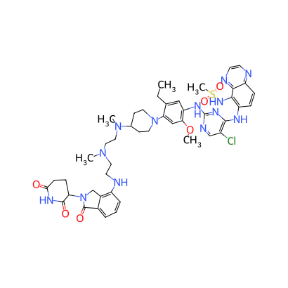 CCc1cc(Nc2ncc(Cl)c(Nc3ccc4nccnc4c3NS(C)(=O)=O)n2)c(OC)cc1N1CCC(N(C)CCN(C)CCNc2cccc3c2CN(C2CCC(=O)NC2=O)C3=O)CC1